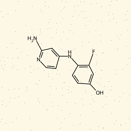 Nc1cc(Nc2ccc(O)cc2F)ccn1